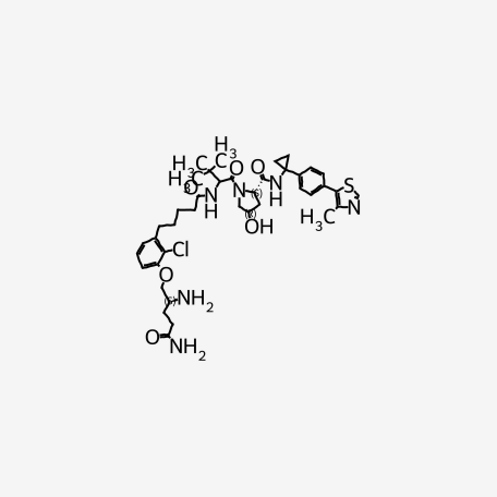 Cc1ncsc1-c1ccc(C2(NC(=O)[C@@H]3C[C@@H](O)CN3C(=O)C(NC(=O)CCCCc3cccc(OC[C@@H](N)CCC(N)=O)c3Cl)C(C)(C)C)CC2)cc1